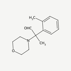 Cc1ccccc1C(C)(C=O)N1CCOCC1